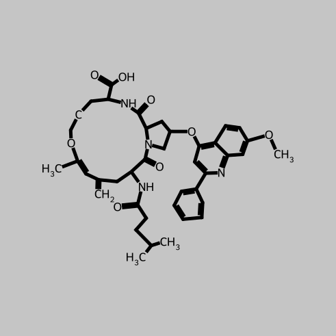 C=C1C=C(C)OCCCC(C(=O)O)NC(=O)C2CC(Oc3cc(-c4ccccc4)nc4cc(OC)ccc34)CN2C(=O)C(NC(=O)CCC(C)C)C1